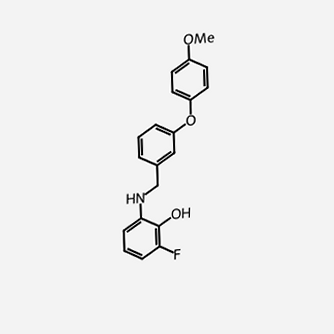 COc1ccc(Oc2cccc(CNc3cccc(F)c3O)c2)cc1